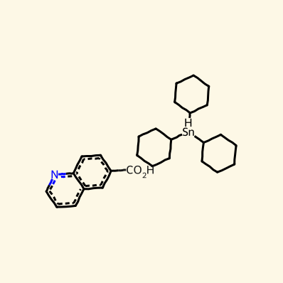 C1CC[CH]([SnH]([CH]2CCCCC2)[CH]2CCCCC2)CC1.O=C(O)c1ccc2ncccc2c1